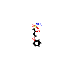 NS(=O)(=O)CC(=O)CCOc1ccccc1